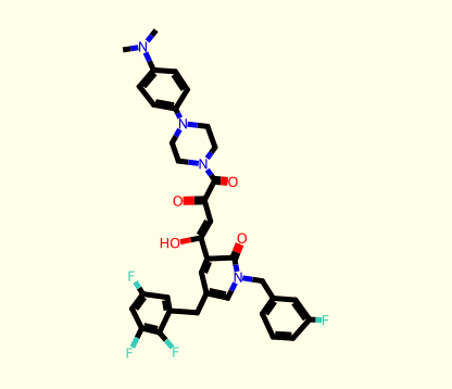 CN(C)c1ccc(N2CCN(C(=O)C(=O)C=C(O)c3cc(Cc4cc(F)cc(F)c4F)cn(Cc4cccc(F)c4)c3=O)CC2)cc1